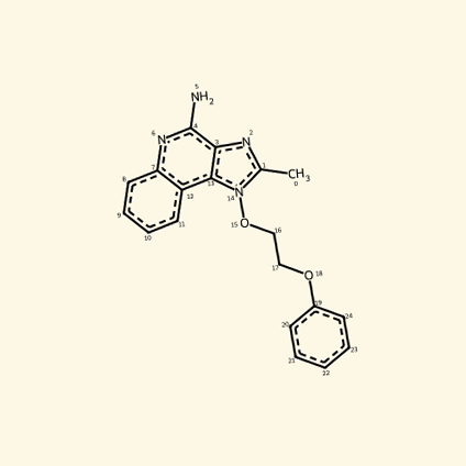 Cc1nc2c(N)nc3ccccc3c2n1OCCOc1ccccc1